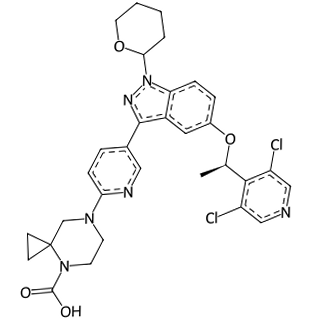 C[C@@H](Oc1ccc2c(c1)c(-c1ccc(N3CCN(C(=O)O)C4(CC4)C3)nc1)nn2C1CCCCO1)c1c(Cl)cncc1Cl